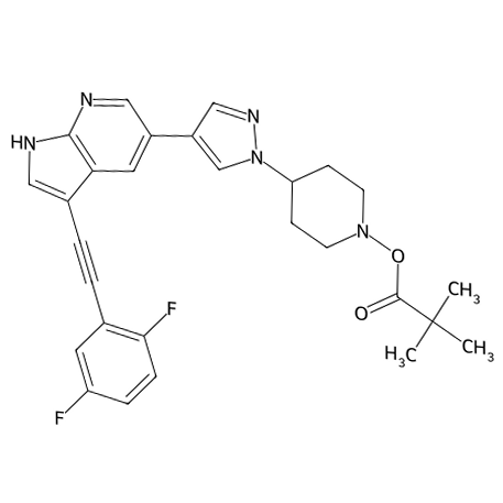 CC(C)(C)C(=O)ON1CCC(n2cc(-c3cnc4[nH]cc(C#Cc5cc(F)ccc5F)c4c3)cn2)CC1